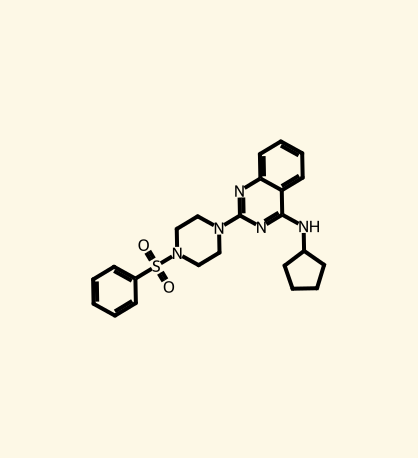 O=S(=O)(c1ccccc1)N1CCN(c2nc(NC3CCCC3)c3ccccc3n2)CC1